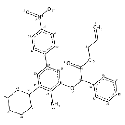 C=CCOC(=O)C(Oc1nc(-c2ccc([N+](=O)[O-])cc2)cc(C2CCCCC2)c1N)c1ccccc1